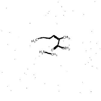 CCCC=C(C)C(N)=O.CN